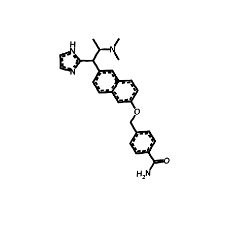 CC(C(c1ccc2cc(OCc3ccc(C(N)=O)cc3)ccc2c1)c1ncc[nH]1)N(C)C